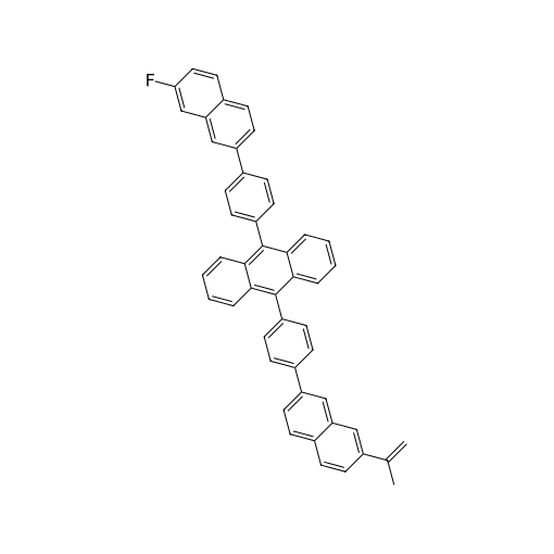 C=C(C)c1ccc2ccc(-c3ccc(-c4c5ccccc5c(-c5ccc(-c6ccc7ccc(F)cc7c6)cc5)c5ccccc45)cc3)cc2c1